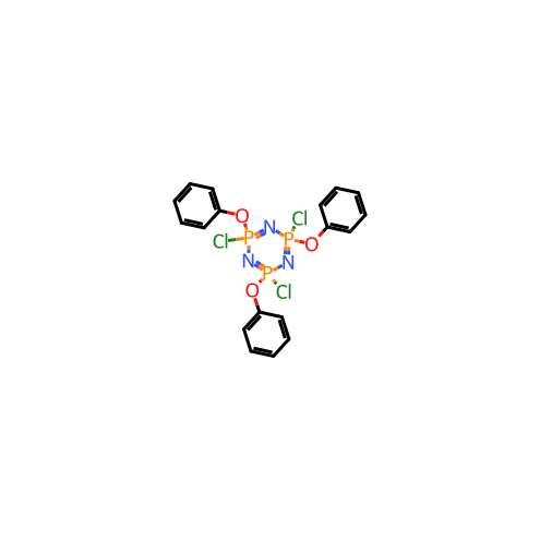 ClP1(Oc2ccccc2)=NP(Cl)(Oc2ccccc2)=NP(Cl)(Oc2ccccc2)=N1